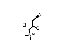 C[N+](C)(C)CC(O)CC#N.[Cl-]